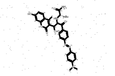 CCCC[C@H](NC(C(=O)c1ccc(N=Nc2ccc(N(C)C)cc2)cc1)C(C=O)c1c(C)c2ccc(O)cc2oc1=O)C(N)=O